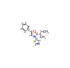 CCC(C)C1OC(c2ccccc2)=[C]N1c1cncs1